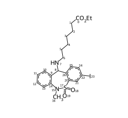 CCOC(=O)CCCCCCNC1c2ccccc2N(C)S(=O)(=O)c2cc(I)ccc21